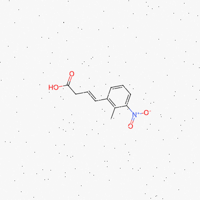 Cc1c(C=CCC(=O)O)cccc1[N+](=O)[O-]